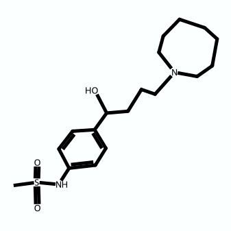 CS(=O)(=O)Nc1ccc(C(O)CCCN2CCCCCCC2)cc1